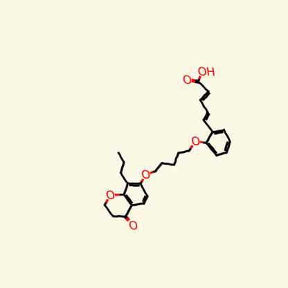 CCCc1c(OCCCCCOc2ccccc2C=CC=CC(=O)O)ccc2c1OCCC2=O